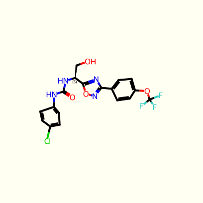 O=C(Nc1ccc(Cl)cc1)N[C@@H](CO)c1nc(-c2ccc(OC(F)(F)F)cc2)no1